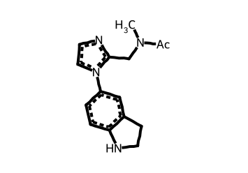 CC(=O)N(C)Cc1nccn1-c1ccc2c(c1)CCN2